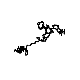 O=C(CCCCCCC(=O)Nc1cc2nc(-c3cccc4[nH]ncc34)nc(N3CCOCC3)c2s1)NO